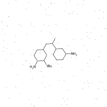 CC(CC1CCC(N)C(C(C)(C)C)C1)C1CCCC(N)C1